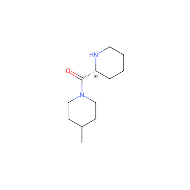 CC1CCN(C(=O)[C@H]2CCCCN2)CC1